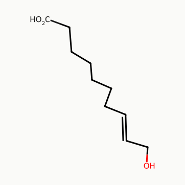 O=C(O)CCCCCCC=CCO